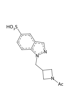 CC(=O)N1CC(Cn2ncc3cc(S(=O)(=O)O)ccc32)C1